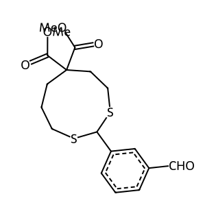 COC(=O)C1(C(=O)OC)CCCSC(c2cccc(C=O)c2)SCC1